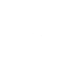 COCCN(C)C(=O)/N=c1\sc(C)cn1-c1ccc(C(F)(F)F)cc1